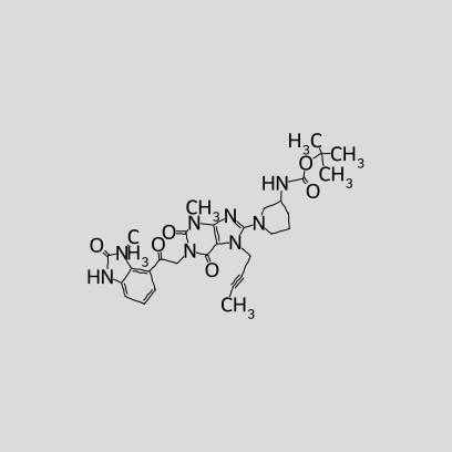 CC#CCn1c(N2CCCC(NC(=O)OC(C)(C)C)C2)nc2c1c(=O)n(CC(=O)c1cccc3[nH]c(=O)n(C)c13)c(=O)n2C